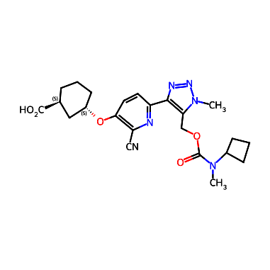 CN(C(=O)OCc1c(-c2ccc(O[C@H]3CCC[C@H](C(=O)O)C3)c(C#N)n2)nnn1C)C1CCC1